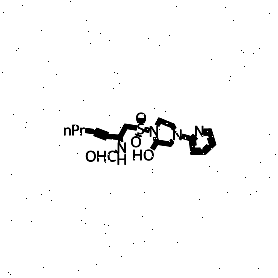 CCCC#CC(CS(=O)(=O)N1CCN(c2ccccn2)CC1O)NC=O